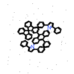 c1ccc(-c2c3ccc(-n4c(-c5ccccc5)ccc4-c4ccccc4)cc3c(-c3ccc4c(c3)C3(c5ccccc5-c5ccccc53)c3ccccc3-4)c3ccc(-n4c(-c5ccccc5)ccc4-c4ccccc4)cc23)cc1